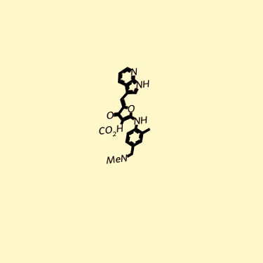 CNCc1ccc(NC2=C(C(=O)O)C(=O)C(=Cc3c[nH]c4ncccc34)O2)c(C)c1